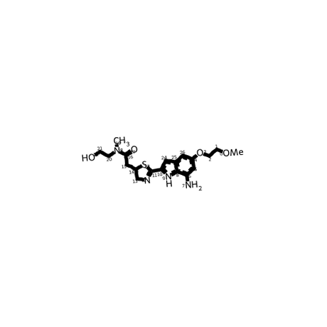 COCCOc1cc(N)c2[nH]c(C3=NCC(CC(=O)N(C)CCO)S3)cc2c1